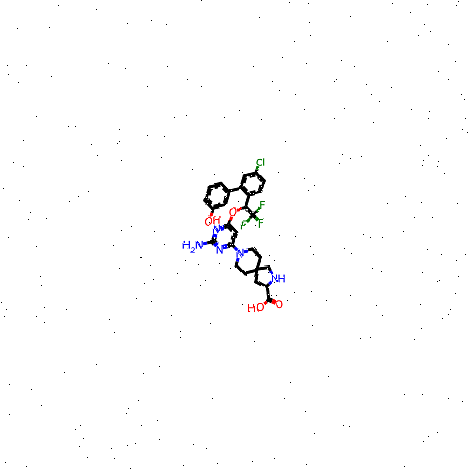 Nc1nc(OC(c2ccc(Cl)cc2-c2cccc(O)c2)C(F)(F)F)cc(N2CCC3(CC2)CNC(C(=O)O)C3)n1